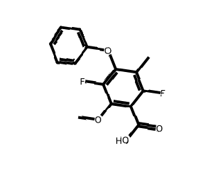 COc1c(F)c(Oc2ccccc2)c(C)c(F)c1C(=O)O